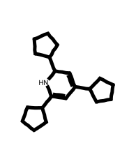 [C]1=C(C2CCCC2)C=C(C2CCCC2)NC1C1CCCC1